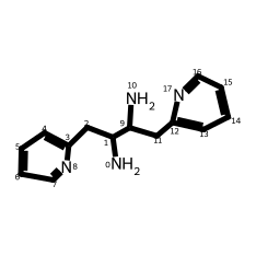 NC(Cc1ccccn1)C(N)Cc1ccccn1